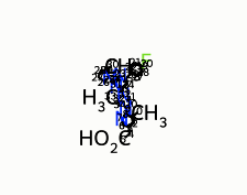 Cc1cc(CC(=O)O)cnc1N1CCN(c2cc(-c3ccc(F)cc3)nc(N3CCCC3C)n2)C(C)C1